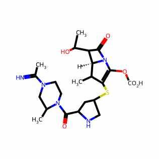 CC(=N)N1CCN(C(=O)C2CC(SC3=C(OC(=O)O)N4C(=O)C(C(C)O)[C@@H]4C3C)CN2)C(C)C1